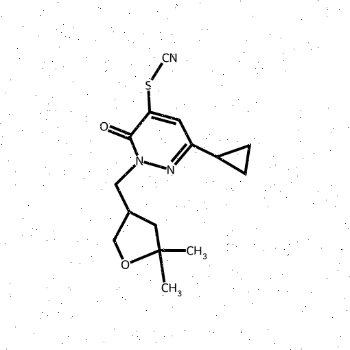 CC1(C)CC(Cn2nc(C3CC3)cc(SC#N)c2=O)CO1